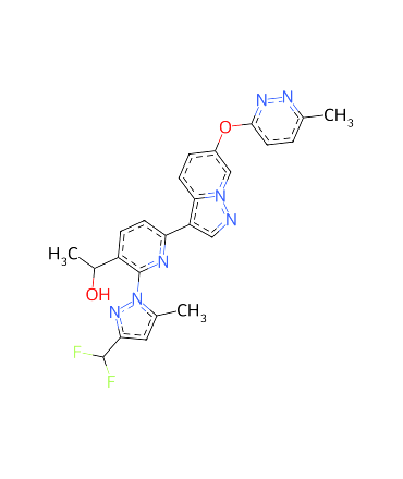 Cc1ccc(Oc2ccc3c(-c4ccc(C(C)O)c(-n5nc(C(F)F)cc5C)n4)cnn3c2)nn1